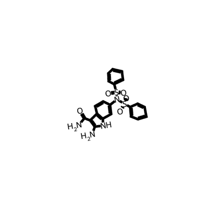 NC(=O)c1c(N)[nH]c2cc(N(S(=O)(=O)c3ccccc3)S(=O)(=O)c3ccccc3)ccc12